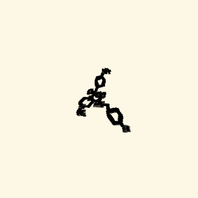 CCCc1ccc(S(=O)(=O)N2CCN(C(C)=O)C[C@@H]2C(=O)NCc2ccc(CC)cc2)cc1